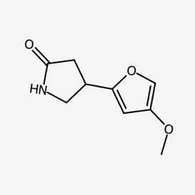 COc1coc(C2CNC(=O)C2)c1